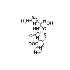 Nc1nc(/C(=N/O)C(=O)NC2C(=O)N3C(C(=O)[O-])=C(C[n+]4ccncc4)CS[C@H]23)cs1